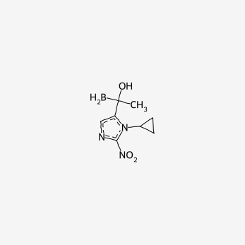 BC(C)(O)c1cnc([N+](=O)[O-])n1C1CC1